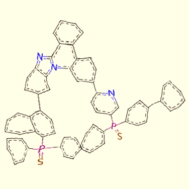 S=P(c1ccccc1)(c1ccc(-c2ccccc2)cc1)c1ccc(-c2ccc3c4ccccc4c4nc5ccc(-c6ccc(P(=S)(c7ccccc7)c7ccccc7)c7ccccc67)cc5n4c3c2)nc1